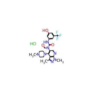 Cc1nn(C)c2ncc(N(C=O)C(=O)Nc3cc(O)cc(C(F)(F)F)c3)c(N3CCN(C)CC3)c12.Cl